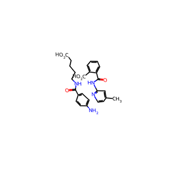 Cc1ccnc(NC(=O)c2ccccc2C(=O)O)c1.Nc1ccc(C(=O)NCCCCC(=O)O)cc1